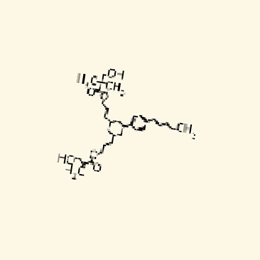 C=C(CO)C(=O)OCCCC1CC(CCCOC(=O)C(C)(C)CO)CC(c2ccc(CCCCC)cc2)C1